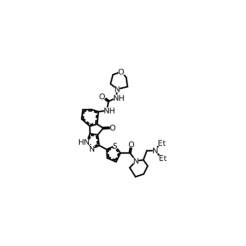 CCN(CC)CC1CCCCN1C(=O)c1ccc(-c2n[nH]c3c2C(=O)c2c(NC(=O)NN4CCOCC4)cccc2-3)s1